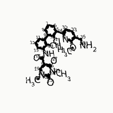 COc1nc(-c2cccc(-c3cccc(NC(=O)c4cn(C)c(=O)n(C)c4=O)c3C)c2Cl)ccc1CN